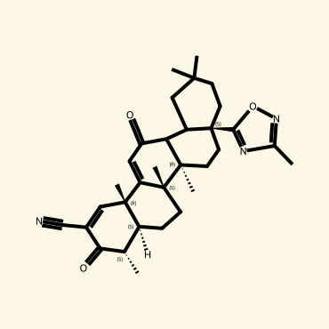 Cc1noc([C@]23CCC(C)(C)CC2C2C(=O)C=C4[C@@]5(C)C=C(C#N)C(=O)[C@@H](C)[C@@H]5CC[C@@]4(C)[C@]2(C)CC3)n1